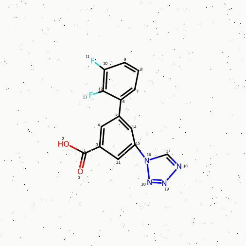 O=C(O)c1cc(-c2cccc(F)c2F)cc(-n2cnnn2)c1